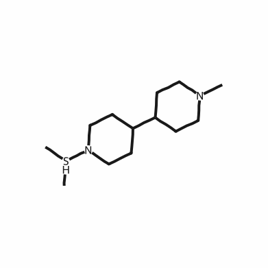 CN1CCC(C2CCN([SH](C)C)CC2)CC1